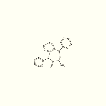 NC1N=C(c2ccccc2)c2ccccc2N(c2ccccn2)C1=O